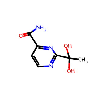 CC(O)(O)c1nccc(C(N)=O)n1